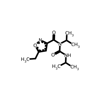 CCc1cc(C(=O)N(C(=O)NC(C)C)C(C)C)no1